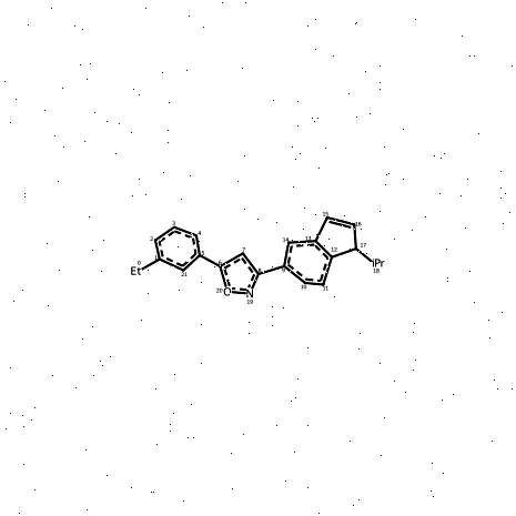 CCc1cccc(-c2cc(-c3ccc4c(c3)C=CC4C(C)C)no2)c1